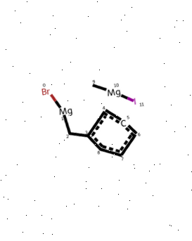 [Br][Mg][CH2]c1ccccc1.[CH3][Mg][I]